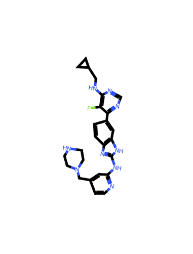 Fc1c(NCC2CC2)ncnc1-c1ccc2nc(Nc3cc(CN4CCNCC4)ccn3)[nH]c2c1